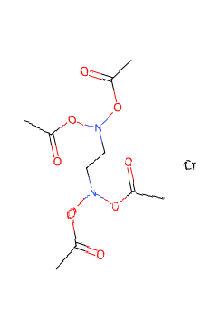 CC(=O)ON(CCN(OC(C)=O)OC(C)=O)OC(C)=O.[Cr]